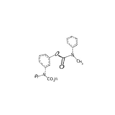 CC(C)N(C(=O)O)c1cccc(OC(=O)N(C)c2ccccc2)c1